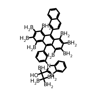 Bc1c(B)c(B)c2c(-c3ccc4ccccc4c3)c3c(B)c(B)c(B)c(B)c3c(-c3cccc(-n4c(C(B)(O)C(B)(B)B)nc5ccccc54)c3)c2c1B